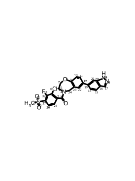 Cc1c(C(=O)N2CCOc3ccc(-c4ccc5cn[nH]c5c4)cc3C2)ccc(S(C)(=O)=O)c1F